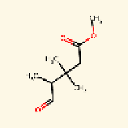 COC(=O)CC(C)(C)C(C)C=O